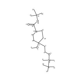 COC1(CCO[Si](C)(C)C(C)(C)C)CCN(C(=O)OC(C)(C)C)CC1